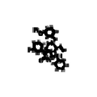 C=C[C@H]1C[C@]2(CCN1Cc1cccc(OC(C)C)c1)C(NC1CCCCC1)=NC(=O)N2c1cccc(F)c1